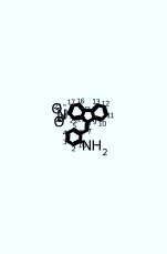 Nc1ccccc1C=C1c2ccccc2-c2ccc([N+](=O)[O-])cc21